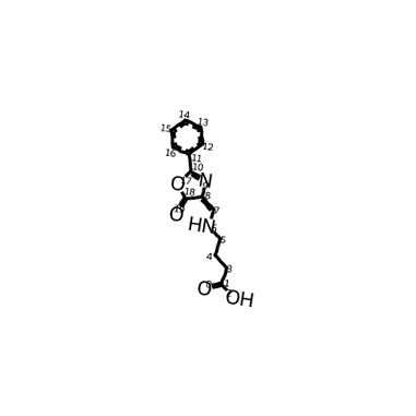 O=C(O)CCCNC=C1N=C(c2ccccc2)OC1=O